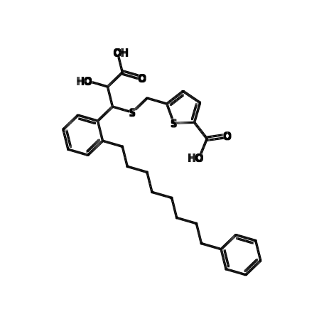 O=C(O)c1ccc(CSC(c2ccccc2CCCCCCCCc2ccccc2)C(O)C(=O)O)s1